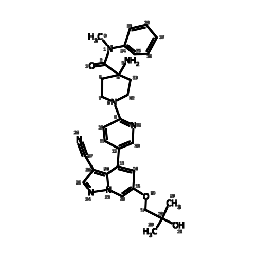 CN(C(=O)C1(N)CCN(c2ccc(-c3cc(OCC(C)(C)O)cn4ncc(C#N)c34)cn2)CC1)c1ccccc1